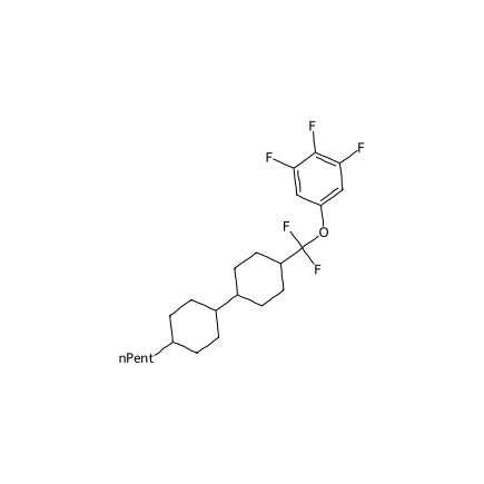 CCCCCC1CCC(C2CCC(C(F)(F)Oc3cc(F)c(F)c(F)c3)CC2)CC1